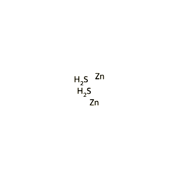 S.S.[Zn].[Zn]